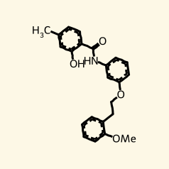 COc1ccccc1CCOc1cccc(NC(=O)c2ccc(C)cc2O)c1